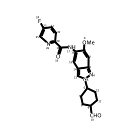 COc1cc2nn(C3CCC(C=O)CC3)cc2cc1NC(=O)c1ccc(F)cn1